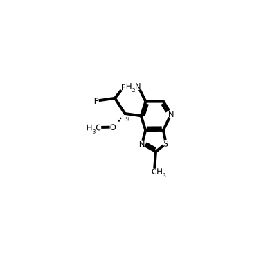 CO[C@@H](c1c(N)cnc2sc(C)nc12)C(F)F